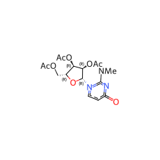 CNc1nc(=O)ccn1[C@@H]1O[C@H](COC(C)=O)[C@@H](OC(C)=O)[C@H]1OC(C)=O